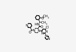 COc1ccccc1C(C)NC(=O)C1CN(C(=O)c2cccnc2)CCN1c1cc(Cl)nc(-n2ccnc2)n1